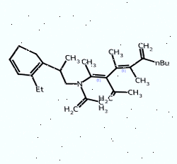 C=C(CCCC)/C(C)=C(C)/C(C(=C)C)=C(\C)N(CC(C)C1=C(CC)C=CCC1)C(=C)C